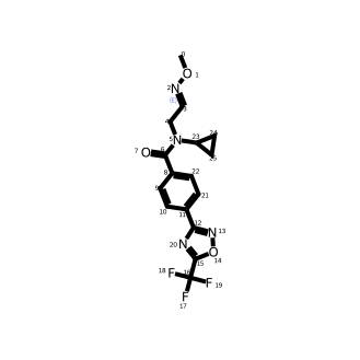 CO/N=C/CN(C(=O)c1ccc(-c2noc(C(F)(F)F)n2)cc1)C1CC1